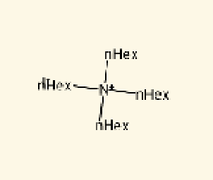 CCCCCC[N+](CCCCCC)(CCCCCC)CCCCCC.[I-]